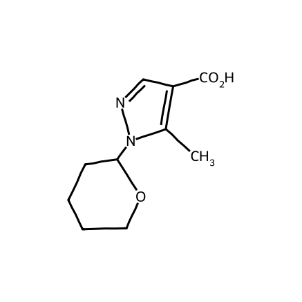 Cc1c(C(=O)O)cnn1C1CCCCO1